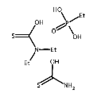 CCN(CC)C(O)=S.CCP(=O)(O)O.NC(O)=S